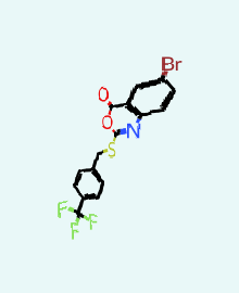 O=c1oc(SCc2ccc(C(F)(F)F)cc2)nc2ccc(Br)cc12